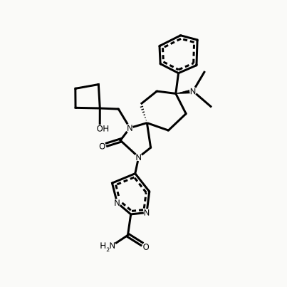 CN(C)[C@]1(c2ccccc2)CC[C@]2(CC1)CN(c1cnc(C(N)=O)nc1)C(=O)N2CC1(O)CCC1